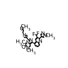 COCCN1CC(c2nc(-c3cccc4nc(-c5cnn(C)c5)c(C(F)F)cc34)c3n2[C@H](C)C(=O)N(C)C3)C1